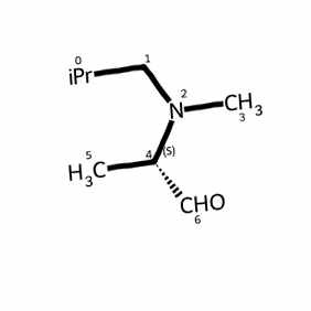 CC(C)CN(C)[C@@H](C)C=O